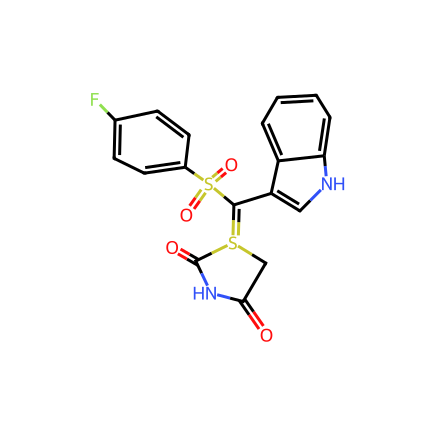 O=C1CS(=C(c2c[nH]c3ccccc23)S(=O)(=O)c2ccc(F)cc2)C(=O)N1